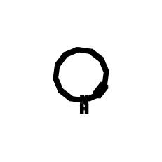 C1#CNCCCCCCCCC1